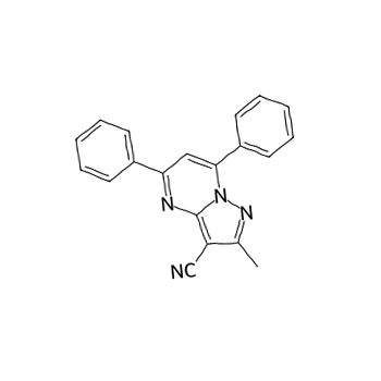 Cc1nn2c(-c3ccccc3)cc(-c3ccccc3)nc2c1C#N